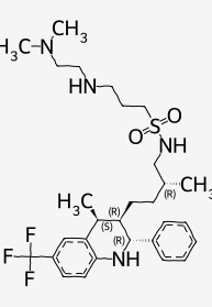 C[C@H](CC[C@@H]1[C@H](C)c2cc(C(F)(F)F)ccc2N[C@H]1c1ccccc1)CNS(=O)(=O)CCCNCCN(C)C